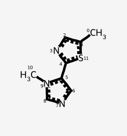 Cc1[c]nc(-c2cncn2C)s1